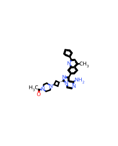 CC(=O)N1CCN([C@H]2C[C@@H](c3nc(-c4ccc5c(C)cc(-c6ccccc6)nc5c4)c4c(N)nccn43)C2)CC1